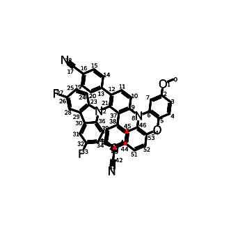 COc1ccc2c(c1)N(c1ccc(-c3ccc(C#N)cc3)c(-n3c4ccc(F)cc4c4cc(F)ccc43)c1-c1ccc(C#N)cc1)c1cc(OC)ccc1O2